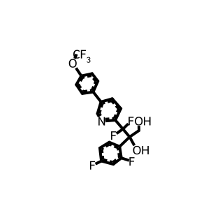 OCC(O)(c1ccc(F)cc1F)C(F)(F)c1ccc(-c2ccc(OC(F)(F)F)cc2)cn1